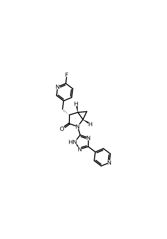 O=C1[C@H](Cc2ccc(F)nc2)[C@@H]2C[C@@H]2N1c1nc(-c2ccncc2)n[nH]1